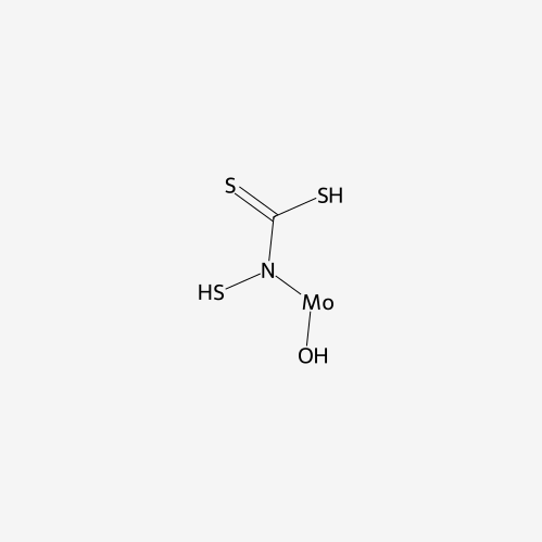 [OH][Mo][N](S)C(=S)S